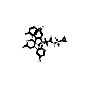 Cc1ccc(F)cc1[C@@H]1NC(=O)C[C@H](c2cc(Cl)ccc2OC(C)(C)C(=O)NS(=O)(=O)C2CC2)[C@@]12C(=O)Nc1cc(Cl)ccc12